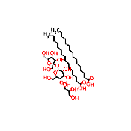 CCCCCCCCCCCCCCCC(=O)O.CCCCCCCCCCCCCCCC(=O)O.OCC(O)CO.OC[C@H]1O[C@@](CO)(O[C@H]2O[C@H](CO)[C@@H](O)[C@H](O)[C@H]2O)[C@@H](O)[C@@H]1O